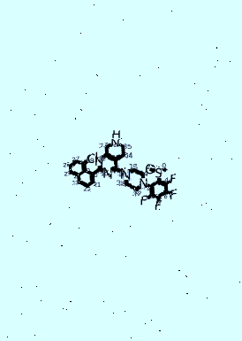 C[S+]([O-])c1c(F)c(F)c(F)c(F)c1N1CCN(c2nc(-c3cccc4cccc(Cl)c34)nc3c2CCNC3)CC1